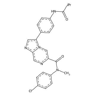 CC(C)C(=O)Nc1ccc(-c2cnc3cnc(C(=O)N(C)c4ccc(Cl)cc4)cn23)cc1